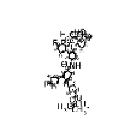 CC(C)(C)OC(=O)N1CCC(Oc2ccc(C(=O)Nc3ccc(OC4CCN(C(=O)O)C4C(C)(C)C)c(-c4ccc(F)cc4)c3)cc2-c2ccc(F)nc2)C1